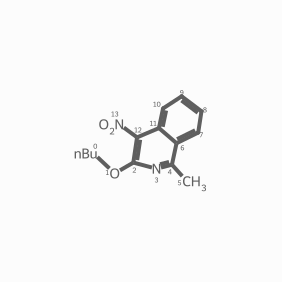 CCCCOc1nc(C)c2ccccc2c1[N+](=O)[O-]